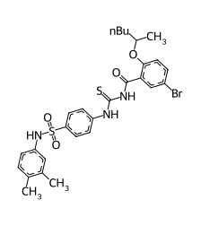 CCCCC(C)Oc1ccc(Br)cc1C(=O)NC(=S)Nc1ccc(S(=O)(=O)Nc2ccc(C)c(C)c2)cc1